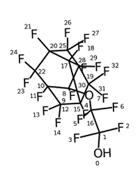 OC(F)(F)C(F)(F)OC1(F)C2(F)C(F)(F)C3(F)C(F)(F)C(F)(C2(F)F)C(F)(F)C1(F)C3(F)F